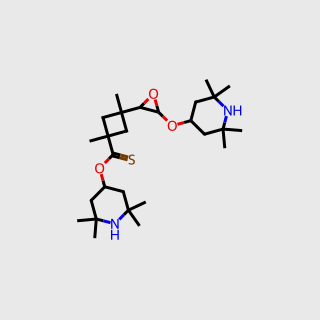 CC1(C)CC(OC(=S)C2(C)CC(C)(C3OC3OC3CC(C)(C)NC(C)(C)C3)C2)CC(C)(C)N1